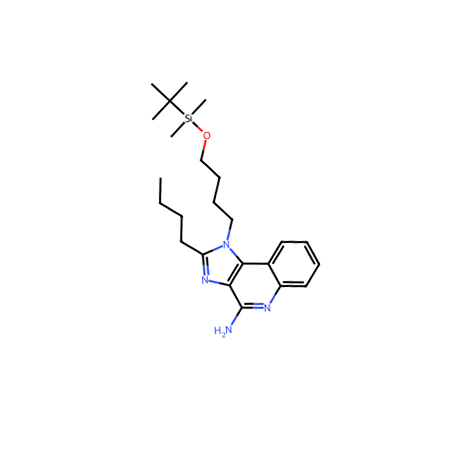 CCCCc1nc2c(N)nc3ccccc3c2n1CCCCO[Si](C)(C)C(C)(C)C